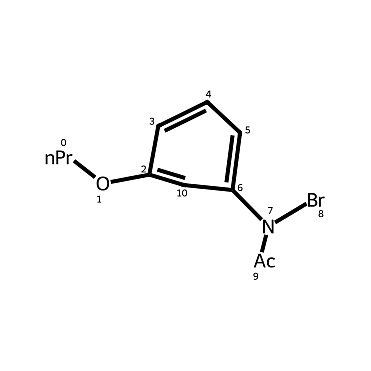 CCCOc1cccc(N(Br)C(C)=O)c1